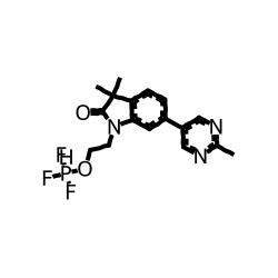 Cc1ncc(-c2ccc3c(c2)N(CCO[PH](F)(F)F)C(=O)C3(C)C)cn1